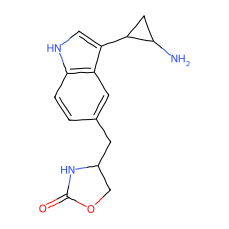 NC1CC1c1c[nH]c2ccc(CC3COC(=O)N3)cc12